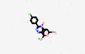 CC1OC2(C)CCC1c1c2nnc(-c2ccc(Cl)cc2)[n+]1[O-]